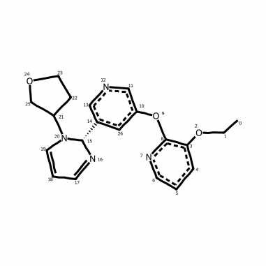 CCOc1cccnc1Oc1cncc([C@@H]2N=CC=CN2C2CCOC2)c1